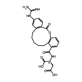 N=C(N)Nc1ccc2c(c1)CCCCCc1c(cccc1C(=O)N[C@@H](CC(=O)O)C(=O)O)OC2=O